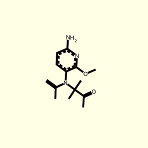 C=C(C)N(c1ccc(N)nc1OC)C(C)(C)C(C)=O